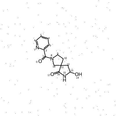 O=C(c1ccccn1)N1CCC2(CC(O)NC2=O)C1